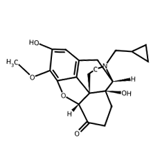 COc1c(O)cc2c3c1O[C@H]1C(=O)CC[C@@]4(O)[C@@H](C2)N(CC2CC2)CC[C@]314